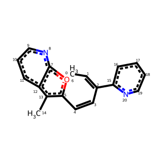 C/C=C(\C=C/c1oc2ncccc2c1C)c1ccccn1